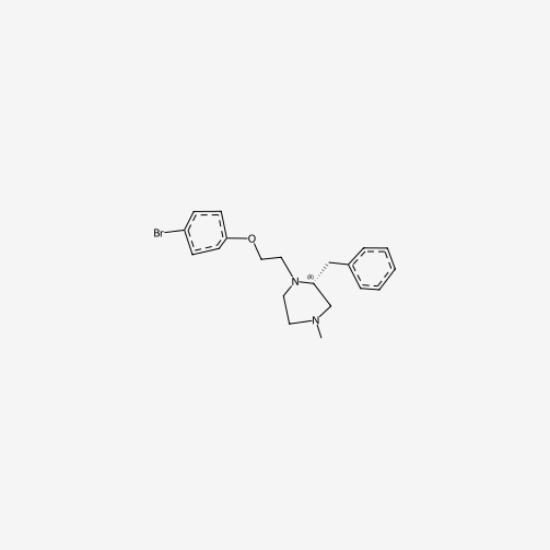 CN1CCN(CCOc2ccc(Br)cc2)[C@H](Cc2ccccc2)C1